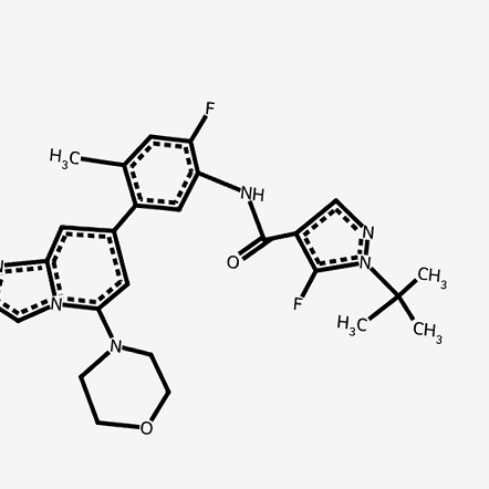 Cc1cc(F)c(NC(=O)c2cnn(C(C)(C)C)c2F)cc1-c1cc(N2CCOCC2)n2cnnc2c1